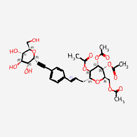 CC(=O)OC[C@H]1O[C@H](C/C=C/c2ccc(C#C[C@H]3O[C@H](CO)[C@@H](O)[C@H](O)[C@H]3O)cc2)[C@@H](OC(C)=O)[C@H](OC(C)=O)[C@@H]1OC(C)=O